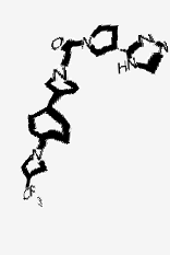 O=C(N1CC(c2ccc(N3CC(C(F)(F)F)C3)cc2)C1)N1CC[C@H](c2nnc[nH]2)C1